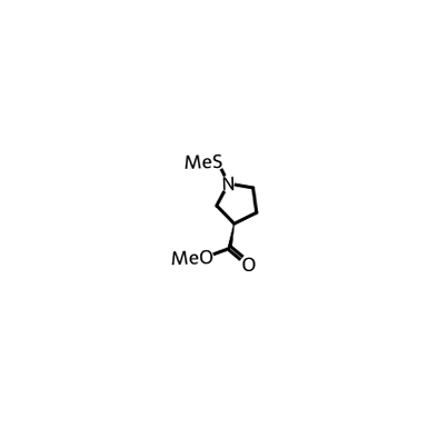 COC(=O)[C@@H]1CCN(SC)C1